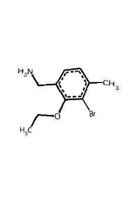 CCOc1c(CN)ccc(C)c1Br